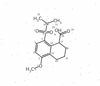 COc1ccc(S(=O)(=O)N(C)C)c2c1CCCC2C(=O)O